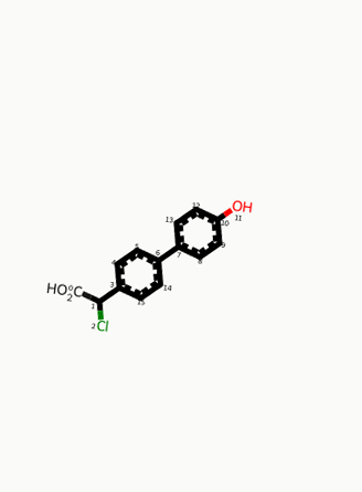 O=C(O)C(Cl)c1ccc(-c2ccc(O)cc2)cc1